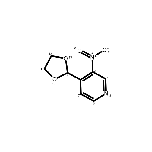 O=[N+]([O-])c1cnccc1C1OCCO1